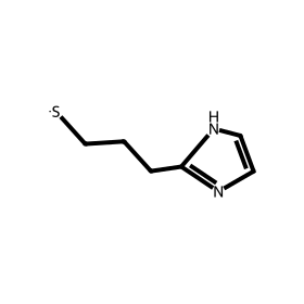 [S]CCCc1ncc[nH]1